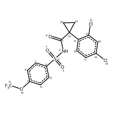 O=C(NS(=O)(=O)c1ccc(OC(F)(F)F)cc1)C1(c2ccc(Cl)cc2Cl)CC1